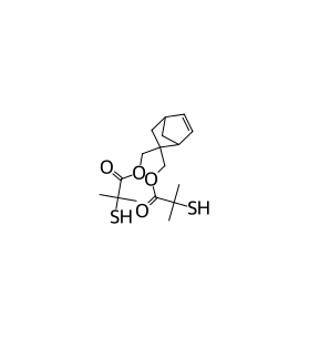 CC(C)(S)C(=O)OCC1(COC(=O)C(C)(C)S)CC2C=CC1C2